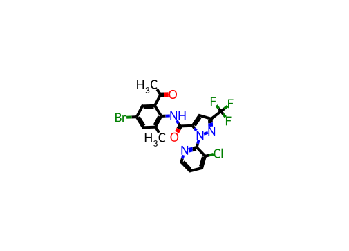 CC(=O)c1cc(Br)cc(C)c1NC(=O)c1cc(C(F)(F)F)nn1-c1ncccc1Cl